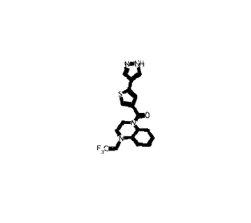 O=C(c1csc(-c2cn[nH]c2)c1)N1CCN(CC(F)(F)F)C2CCCCC21